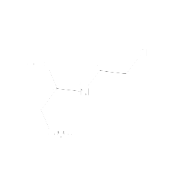 COCC(C=O)NCCCl